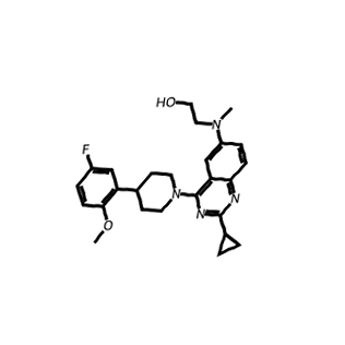 COc1ccc(F)cc1C1CCN(c2nc(C3CC3)nc3ccc(N(C)CCO)cc23)CC1